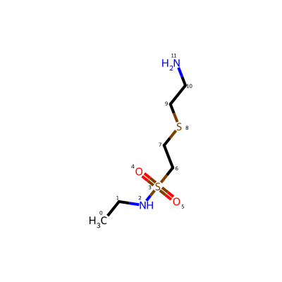 CCNS(=O)(=O)CCSCCN